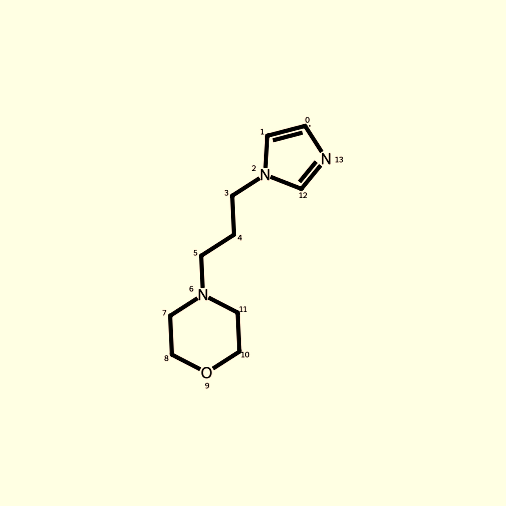 [c]1cn(CCCN2CCOCC2)cn1